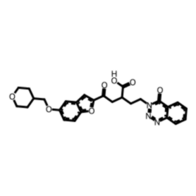 O=C(CC(CCn1nnc2ccccc2c1=O)C(=O)O)c1cc2cc(OCC3CCOCC3)ccc2o1